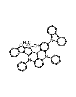 C[Si]1(C)C2=C(c3c1oc1ccccc31)N(c1ccccc1)c1cccc3c1B2c1ccc(-n2c4ccccc4c4ccccc42)cc1N3c1ccccc1